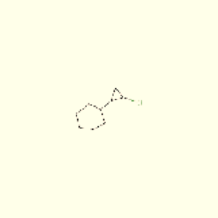 Cl[C]1CC1C1CCCCC1